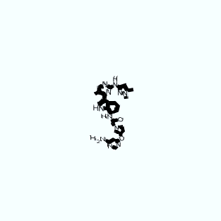 Cc1cnc(Nc2cc(C)n(C)n2)nc1-c1c[nH]c2c(NC(=O)CN3CCC(Oc4cc(N)ncn4)C3)cccc12